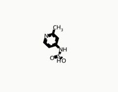 Cc1cc(N[SH](=O)=O)ccn1